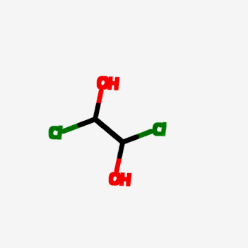 OC(Cl)C(O)Cl